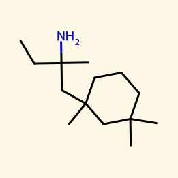 CCC(C)(N)CC1(C)CCCC(C)(C)C1